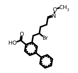 CON=CCCC(Br)Cc1cc(-c2ccccc2)ccc1C(=O)O